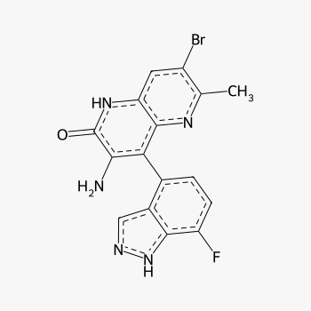 Cc1nc2c(-c3ccc(F)c4[nH]ncc34)c(N)c(=O)[nH]c2cc1Br